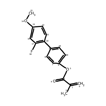 C=C(C)C(=O)Oc1ccc(-c2ccc(OC)cc2F)cc1